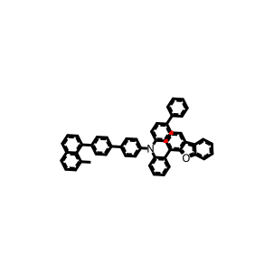 Cc1cccc2cccc(-c3ccc(-c4ccc(N(c5ccc(-c6ccccc6)cc5)c5ccccc5-c5cccc6c5oc5ccccc56)cc4)cc3)c12